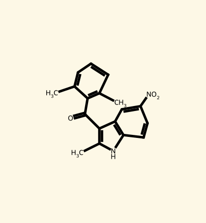 Cc1cccc(C)c1C(=O)c1c(C)[nH]c2ccc([N+](=O)[O-])cc12